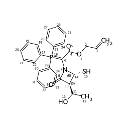 C=CCOC(=O)C(N1C(=O)[C@H](C(C)O)[C@H]1S)=P(c1ccccc1)(c1ccccc1)c1ccccc1